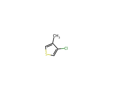 Cc1cscc1Cl